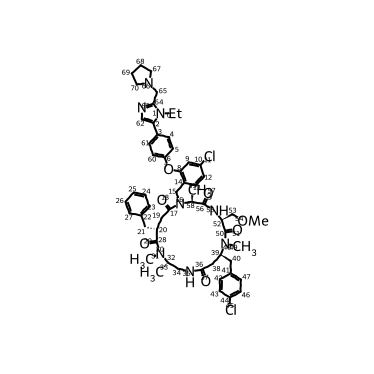 CCn1c(-c2ccc(Oc3cc(Cl)ccc3CN3C(=O)C[C@@H](Cc4ccccc4)C(=O)N(C)[C@@H](C)CNC(=O)C[C@H](Cc4ccc(Cl)cc4)N(C)C(=O)[C@H](COC)NC(=O)[C@@H]3C)cc2)cnc1CN1CCCC1